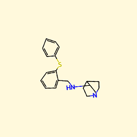 c1ccc(Sc2ccccc2CNC2CN3CCC2CC3)cc1